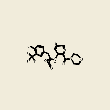 O=C(c1ncc(Cl)cc1NC1(Cc2ccc(Cl)c(C(F)(F)F)c2)OC1=O)N1CCOCC1